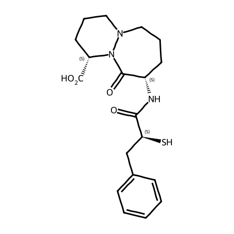 O=C(N[C@H]1CCCN2CCC[C@@H](C(=O)O)N2C1=O)[C@@H](S)Cc1ccccc1